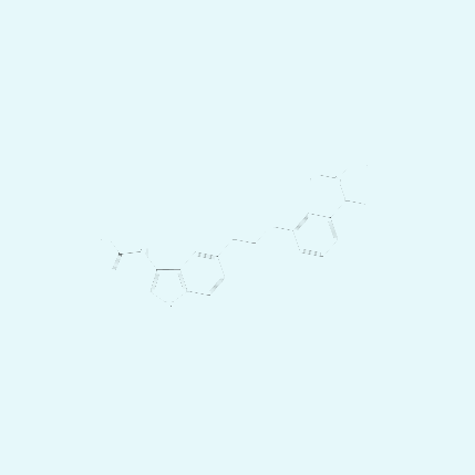 CC(=O)Nc1c[nH]c2ccc(CCOc3cccc(C(C)N(C)C)c3)cc12